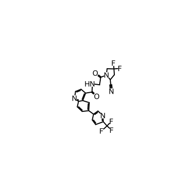 N#CC1CC(F)(F)CN1C(=O)CNC(=O)c1ccnc2ccc(-c3ccc(C(F)(F)F)nc3)cc12